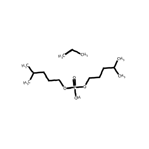 CC(C)CCCOP(=O)(O)OCCCC(C)C.CCC